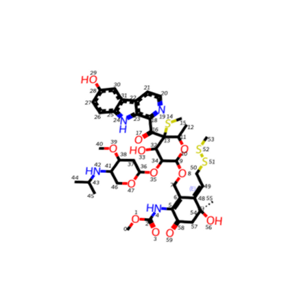 COC(=O)NC1=C(COC2OC(C)C(SC)(C(=O)c3nccc4c3[nH]c3ccc(O)cc34)C(O)C2OC2CC(OC)C(NC(C)C)CO2)/C(=C\CSSC)[C@@](C)(O)CC1=O